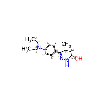 CCN(CC)c1ccc(C2=NNC(O)C[C@H]2C)cc1